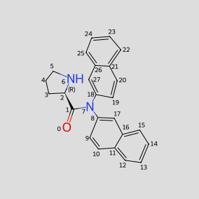 O=C([C@H]1CCCN1)N(c1ccc2ccccc2c1)c1ccc2ccccc2c1